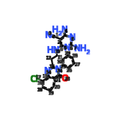 N#Cc1c(N)nc(N)nc1NCCc1nc2c(Cl)cccc2c(=O)n1-c1ccccc1